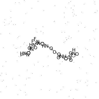 O=C1CCC(N2Cc3cc(CNC(=O)OCCOCCOCCNCc4ccc(-n5cc(NC(=O)c6coc(-c7ccnc(NCC8CC8)c7)n6)c(C(F)F)n5)cc4)ccc3C2=O)C(=O)N1